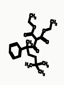 CCOC(=O)C(C(=O)OCC)C(=O)C(C)(CCC(C)(C)C)c1ccccc1